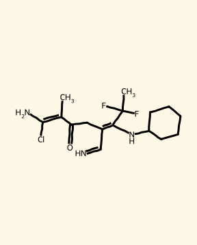 C/C(C(=O)C/C(C=N)=C(/NC1CCCCC1)C(C)(F)F)=C(\N)Cl